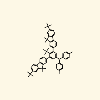 Cc1ccc(N(c2ccc(C)cc2)c2cc(-c3ccc4c(c3)C(C)(C)c3cc(C(C)(C)C)ccc3-4)c(C(C)(C)C)c(-c3ccc4c(c3)C(C)(C)c3cc(C(C)(C)C)ccc3-4)c2)cc1